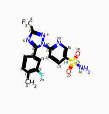 Cc1ccc(-c2nc(C(F)(F)F)nn2-c2ccc(S(N)(=O)=O)cn2)cc1F